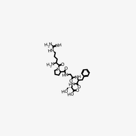 N=C(N)NCCCC(N)C(=O)N1CCCC1C(=O)NCC(=O)NC(Cc1ccccc1)C(=O)N[C@@H](CO)C(=O)O